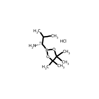 CC(C)[C@@H](N)B1OC(C)(C)C(C)(C)O1.Cl